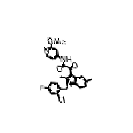 COc1cc(NC(=O)C(=O)c2c(C)n(Cc3ccc(F)cc3Cl)c3ccc(C)cc23)ccn1